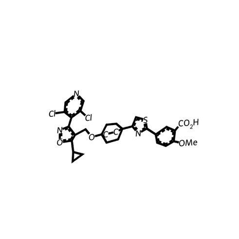 COc1ccc(-c2nc(C34CCC(OCc5c(-c6c(Cl)cncc6Cl)noc5C5CC5)(CC3)CC4)cs2)cc1C(=O)O